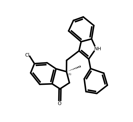 C[C@]1(Cc2c(-c3ccccc3)[nH]c3ccccc23)CC(=O)c2ccc(Cl)cc21